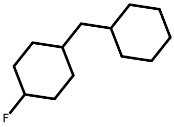 FC1CCC(CC2CCCCC2)CC1